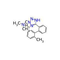 CN(C)C.Cc1ccccc1-c1ccccc1-c1nnn[nH]1